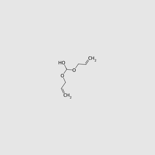 C=CCO[C](O)OCC=C